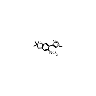 Cn1cnc(-c2cc3c(cc2[N+](=O)[O-])CC(C)(C)O3)c1